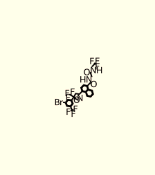 O=C(CNC(=O)c1ccc(C2=NOC(c3cc(Br)cc(C(F)(F)F)c3)(C(F)(F)F)C2)c2ccccc12)NCC(F)(F)F